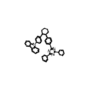 c1ccc(-c2nc(-c3ccccc3)nc(-c3ccc(C4CCCCC4c4ccc(-n5c6ccccc6c6ccccc65)cc4)cc3)n2)cc1